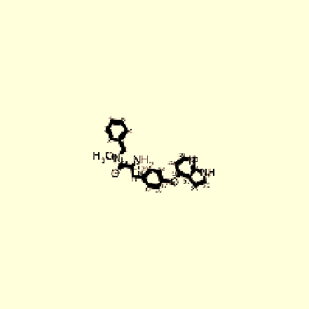 CN(Cc1ccccc1)C(=O)C(N)Cc1ccc(Oc2ccnc3[nH]ccc23)cc1